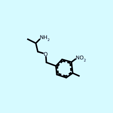 Cc1ccc(COCC(C)N)cc1[N+](=O)[O-]